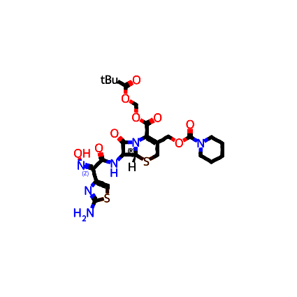 CC(C)(C)C(=O)OCOC(=O)C1=C(COC(=O)N2CCCCC2)CS[C@@H]2C(NC(=O)/C(=N\O)c3csc(N)n3)C(=O)N12